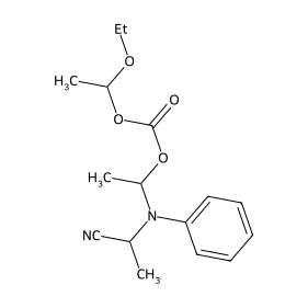 CCOC(C)OC(=O)OC(C)N(c1ccccc1)C(C)C#N